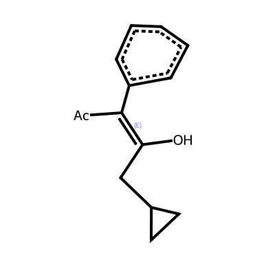 CC(=O)/C(=C(/O)CC1CC1)c1ccccc1